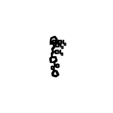 C/C(C=CC12CC1(C)CCCC2(C)C)=C\c1ccc(C(=O)Oc2ccccc2)cc1